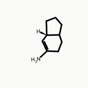 NC1=C[C@@H]2CCCC2CC1